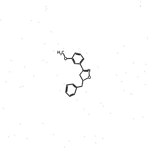 COc1cccc(C2=NOC(Cc3ccccc3)C2)c1